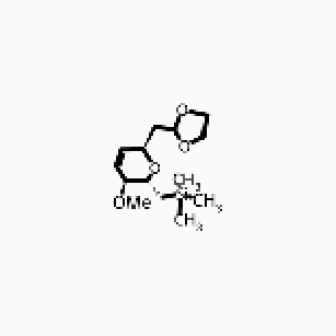 CO[C@H]1C=C[C@@H](CC2OCCO2)O[C@@H]1C[Si](C)(C)C